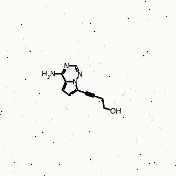 Nc1ncnn2c(C#CCCO)ccc12